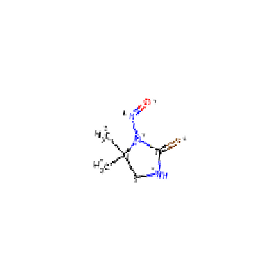 CC1(C)CNC(=S)N1N=O